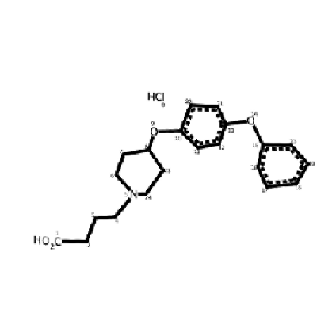 Cl.O=C(O)CCCN1CCC(Oc2ccc(Oc3ccccc3)cc2)CC1